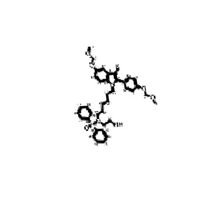 COCOc1ccc(-c2c(C)c3cc(OCOC)ccc3n2CCCCCCN(CCO)P(=O)(c2ccccc2)c2ccccc2)cc1